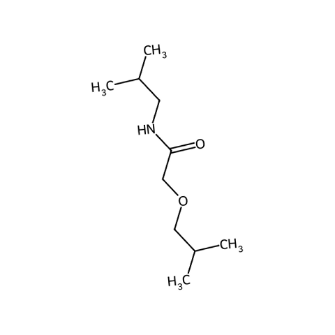 CC(C)CNC(=O)COCC(C)C